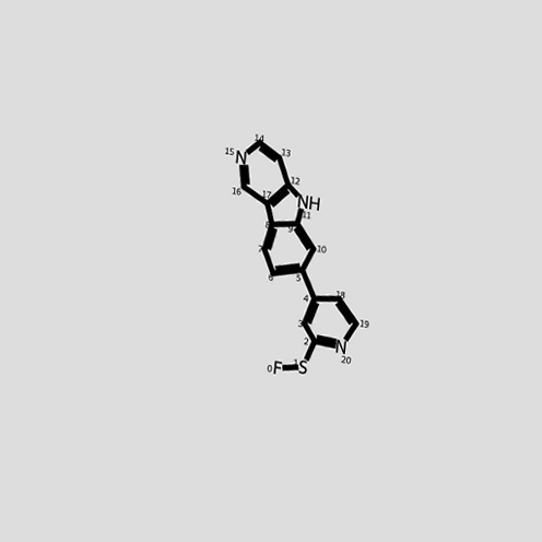 FSc1cc(-c2ccc3c(c2)[nH]c2ccncc23)ccn1